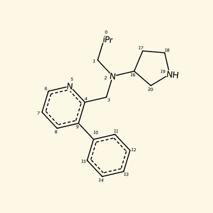 CC(C)CN(Cc1ncccc1-c1ccccc1)C1CCNC1